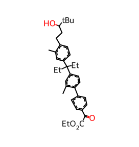 CCOC(=O)C(=O)c1ccc(-c2ccc(C(CC)(CC)c3ccc(CCC(O)C(C)(C)C)c(C)c3)cc2C)cc1